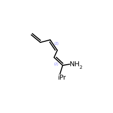 C=C/C=C\C=C(/N)C(C)C